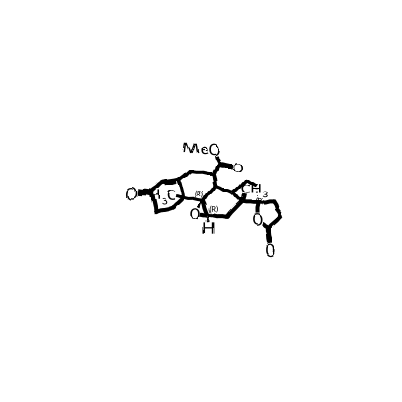 COC(=O)C1CC2=CC(=O)CCC2(C)[C@@]23O[C@@H]2CC2(C)C(CC[C@@]24CCC(=O)O4)C13